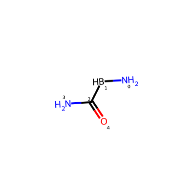 NBC(N)=O